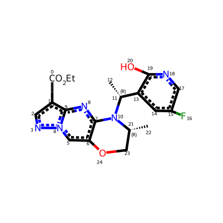 CCOC(=O)c1cnn2cc3c(nc12)N([C@H](C)c1cc(F)cnc1O)[C@H](C)CO3